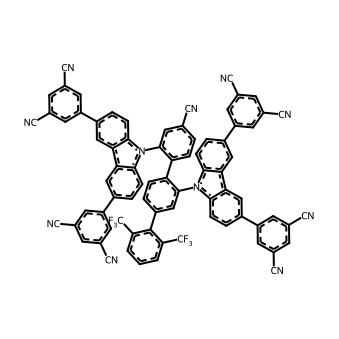 N#Cc1cc(C#N)cc(-c2ccc3c(c2)c2cc(-c4cc(C#N)cc(C#N)c4)ccc2n3-c2cc(C#N)ccc2-c2ccc(-c3c(C(F)(F)F)cccc3C(F)(F)F)cc2-n2c3ccc(-c4cc(C#N)cc(C#N)c4)cc3c3cc(-c4cc(C#N)cc(C#N)c4)ccc32)c1